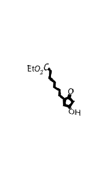 CCOC(=O)CCCCCCC1=CC(O)CC1=O